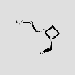 COC[C@@H]1CCN1C=O